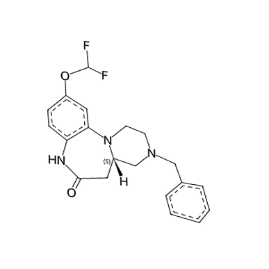 O=C1C[C@H]2CN(Cc3ccccc3)CCN2c2cc(OC(F)F)ccc2N1